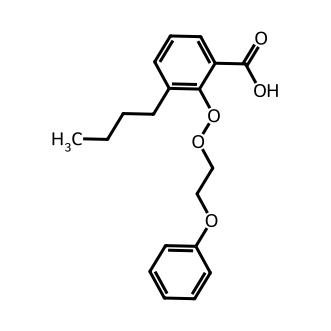 CCCCc1cccc(C(=O)O)c1OOCCOc1ccccc1